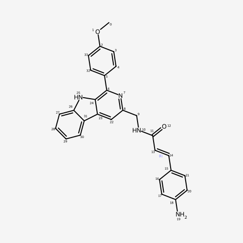 COc1ccc(-c2nc(CNC(=O)/C=C/c3ccc(N)cc3)cc3c2[nH]c2ccccc23)cc1